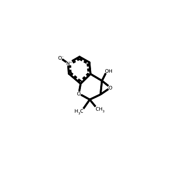 CC1(C)Oc2c[n+]([O-])ccc2C2(O)OC12